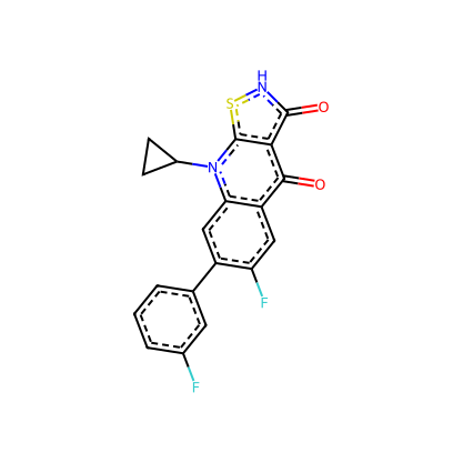 O=c1[nH]sc2c1c(=O)c1cc(F)c(-c3cccc(F)c3)cc1n2C1CC1